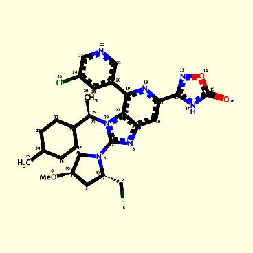 CO[C@@H]1C[C@@H](CF)N(c2nc3cc(-c4noc(=O)[nH]4)nc(-c4cncc(Cl)c4)c3n2[C@H](C)C2CCC(C)CC2)C1